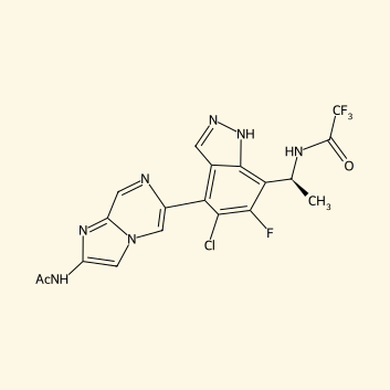 CC(=O)Nc1cn2cc(-c3c(Cl)c(F)c([C@H](C)NC(=O)C(F)(F)F)c4[nH]ncc34)ncc2n1